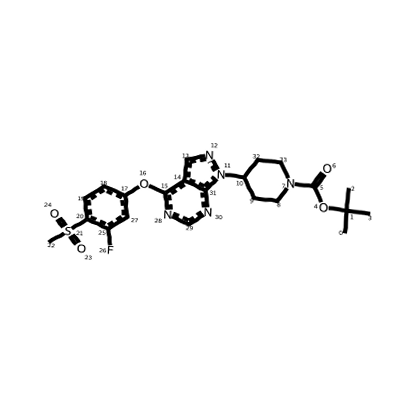 CC(C)(C)OC(=O)N1CCC(n2ncc3c(Oc4ccc(S(C)(=O)=O)c(F)c4)ncnc32)CC1